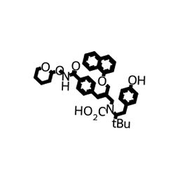 CC(C)(C)C(Cc1ccc(O)cc1)N(CC(=Cc1ccc(C(=O)NOC2CCCCO2)cc1)COc1cccc2ccccc12)C(=O)O